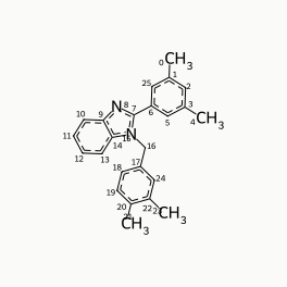 Cc1cc(C)cc(-c2nc3ccccc3n2Cc2ccc(C)c(C)c2)c1